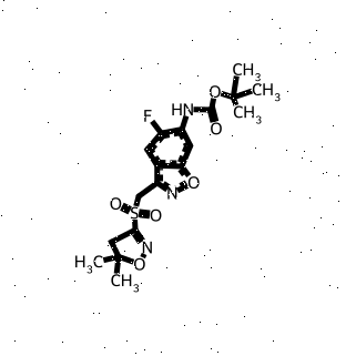 CC(C)(C)OC(=O)Nc1cc2onc(CS(=O)(=O)C3=NOC(C)(C)C3)c2cc1F